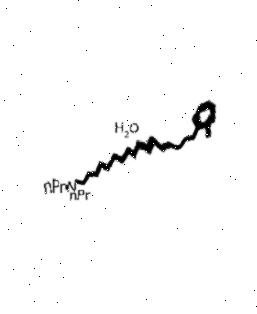 CCCN(CCC)CCCCCCCCCCCCCCCCCCc1ccccc1C.O